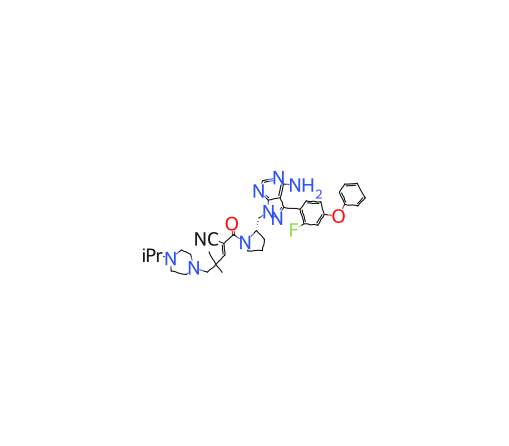 CC(C)N1CCN(CC(C)(C)/C=C(\C#N)C(=O)N2CCC[C@H]2Cn2nc(-c3ccc(Oc4ccccc4)cc3F)c3c(N)ncnc32)CC1